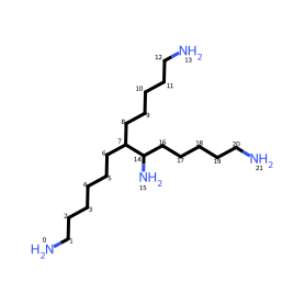 NCCCCCCC(CCCCCN)C(N)CCCCCN